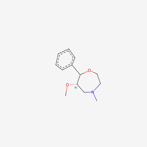 CO[C@H]1CN(C)CCOC1c1ccccc1